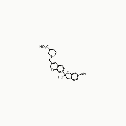 CCCc1ccc2c(c1)OC(O)(c1ccc3c(c1)OCC(CN1CCCC(C(=O)O)C1)=C3)C2